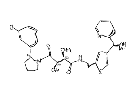 O=C(NCc1cc(C(O)c2ccccn2)cs1)[C@H](O)[C@@H](O)C(=O)N1CCC[C@@H]1c1cccc(Cl)c1